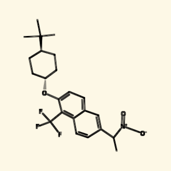 CC(c1ccc2c(C(F)(F)F)c(O[C@H]3CC[C@H](C(C)(C)C)CC3)ccc2c1)[N+](=O)[O-]